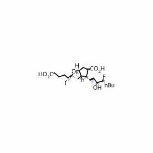 CCCC[C@@H](F)[C@H](O)/C=C/[C@@H]1[C@H]2C[C@H]([C@H](I)CCCC(=O)O)O[C@H]2C[C@H]1C(=O)O